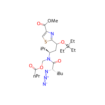 CCCC(=O)OCN(C(=O)[C@@H](N=[N+]=[N-])[C@@H](C)CC)[C@H](CC(O[Si](CC)(CC)CC)c1nc(C(=O)OC)cs1)C(C)C